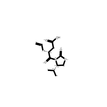 C=CC[C@H](CC(=O)O)C(=O)N1C(=O)OC[C@@H]1C(C)C